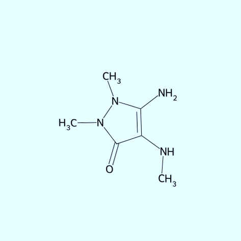 CNc1c(N)n(C)n(C)c1=O